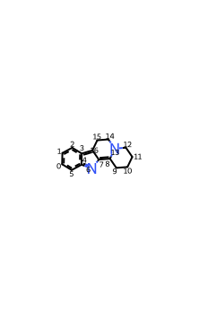 c1ccc2c(c1)=NC1=C3CCCCN3CCC=21